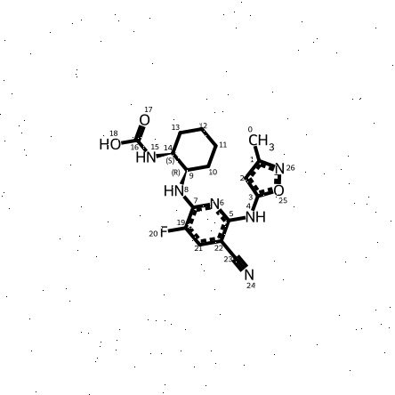 Cc1cc(Nc2nc(N[C@@H]3CCCC[C@@H]3NC(=O)O)c(F)cc2C#N)on1